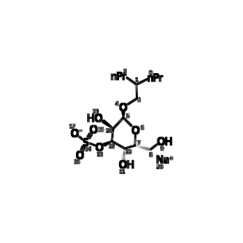 CCCC(CCC)CO[C@H]1O[C@H](CO)[C@H](O)[C@@H](OS(=O)(=O)[O-])[C@H]1O.[Na+]